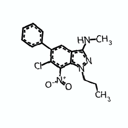 CCCn1nc(NC)c2cc(-c3ccccc3)c(Cl)c([N+](=O)[O-])c21